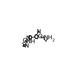 CC(C)CC(C)(N)COc1ccc(-c2ccnc(NC(=O)c3nccs3)c2)cc1C#N